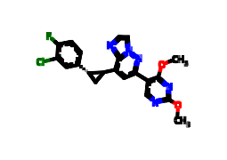 COc1ncc(-c2cc(C3C[C@@H]3c3ccc(F)c(Cl)c3)c3nccn3n2)c(OC)n1